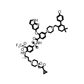 C[C@@H](CCN1CCS(=O)(=NC(=O)C2CC2)CC1)Nc1ccc(S(=O)(=O)NC(=O)c2ccc(N3CCN(CC4=C(c5ccc(Cl)cc5)CC(C)(C)CC4)CC3)cc2Oc2cnc3[nH]ccc3c2)cc1S(=O)(=O)C(F)(F)F